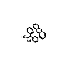 OC(O)C(c1ccccc1)c1ccccc1.c1ccc2cc3ccccc3cc2c1